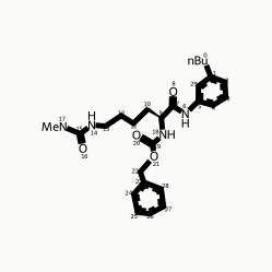 CCCCc1cccc(NC(=O)[C@H](CCCCNC(=O)NC)NC(=O)OCc2ccccc2)c1